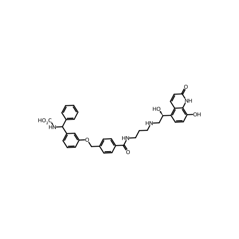 O=C(O)NC(c1ccccc1)c1cccc(OCc2ccc(C(=O)NCCCNC[C@@H](O)c3ccc(O)c4[nH]c(=O)ccc34)cc2)c1